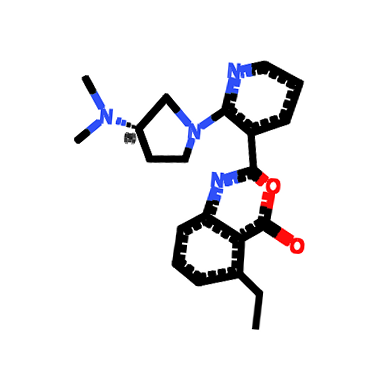 CCc1cccc2nc(-c3cccnc3N3CC[C@H](N(C)C)C3)oc(=O)c12